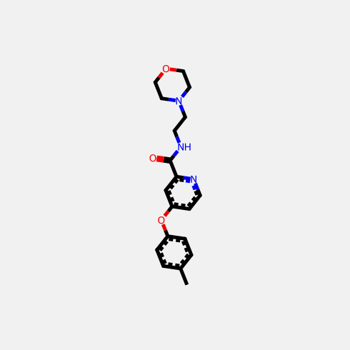 Cc1ccc(Oc2ccnc(C(=O)NCCN3CCOCC3)c2)cc1